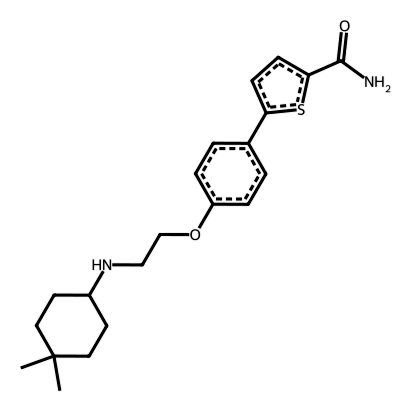 CC1(C)CCC(NCCOc2ccc(-c3ccc(C(N)=O)s3)cc2)CC1